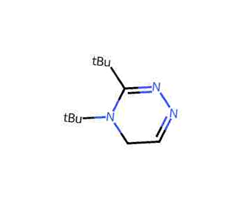 CC(C)(C)C1=NN=CCN1C(C)(C)C